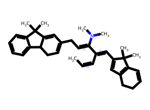 C\C=C/C(=C\C1=CC2=C(C=CCC2)C1(C)C)C(=C/CC1=CCC2C(=C1)C(C)(C)c1ccccc12)/N(C)C